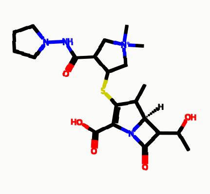 CC(O)C1C(=O)N2C(C(=O)O)=C(SC3C[N+](C)(C)CC3C(=O)NN3CCCC3)C(C)[C@@H]12